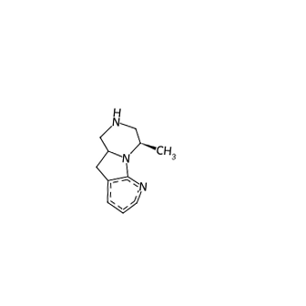 C[C@@H]1CNCC2Cc3cccnc3N21